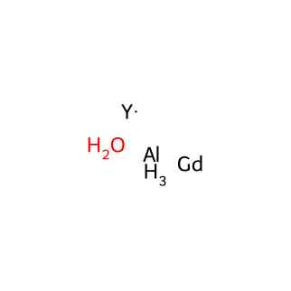 O.[AlH3].[Gd].[Y]